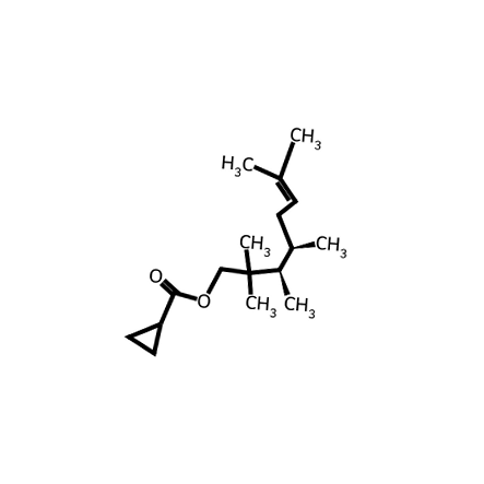 CC(C)=CC[C@@H](C)[C@@H](C)C(C)(C)COC(=O)C1CC1